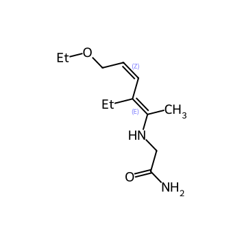 CCOC/C=C\C(CC)=C(/C)NCC(N)=O